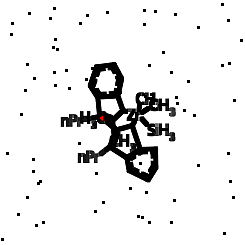 CCCC1=C(C)[CH]([Zr]([CH3])([CH3])([SiH3])[CH]2C(C)=C(CCC)c3ccccc32)c2ccccc21